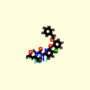 CC(=O)/C=C(\N(C)C(=O)Nc1nc(Oc2ccccc2OCc2ccccc2)c(Cl)cc1F)C(F)(F)F